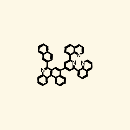 c1ccc2cc(-c3nc4ccccc4c4c3cc(-c3cc(-c5cccc6cccnc56)nc(-c5cccc6cccnc56)c3)c3ccccc34)ccc2c1